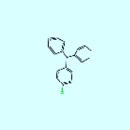 C/C=C\C(=C/C)C(c1ccccc1)c1ccc(Cl)cc1